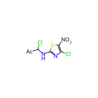 CC(=O)C(Cl)Nc1nc(Cl)c([N+](=O)[O-])s1